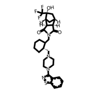 O=C1[C@@H]2[C@@H]3C[C@H]([C@@H]2C(=O)N1CC1CCCC[C@H]1CN1CCN(c2nsc4ccccc24)CC1)[C@@](O)(C(F)(F)F)C3